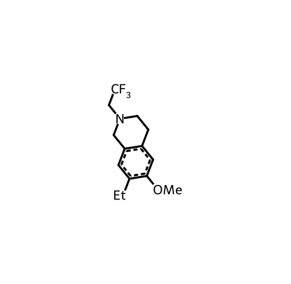 CCc1cc2c(cc1OC)CCN(CC(F)(F)F)C2